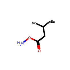 CCCCC(CC(=O)ON)C(C)=O